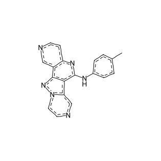 Cc1ccc(Nc2nc3ccncc3c3nn4ccncc4c23)cc1